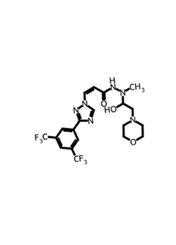 CN(NC(=O)/C=C\n1cnc(-c2cc(C(F)(F)F)cc(C(F)(F)F)c2)n1)C(O)CN1CCOCC1